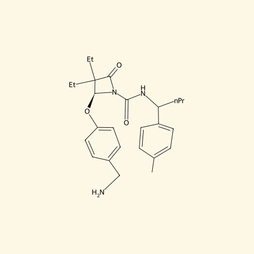 CCCC(NC(=O)N1C(=O)C(CC)(CC)[C@@H]1Oc1ccc(CN)cc1)c1ccc(C)cc1